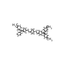 Cc1ccc(N(c2ccccc2)c2ccc(C=Cc3ccc(C=Cc4ccc(N(c5ccc(C)cc5)c5ccc(C)cc5)cc4)cc3)cc2)cc1